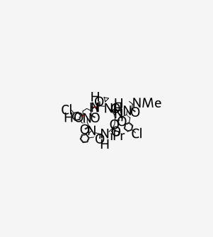 CN[C@@H](C)C(=O)N[C@@H](Cc1cccc(Cl)c1)C(=O)N[C@@H]1C(=O)N[C@@H](C2CC2)C(=O)N[C@H]2CC[C@@H](O)N(C2=O)[C@@H](Cc2ccc(Cl)cc2)C(=O)N(C)[C@@H](Cc2ccccc2)C(=O)N[C@@H](C(C)C)C(=O)O[C@@H]1C